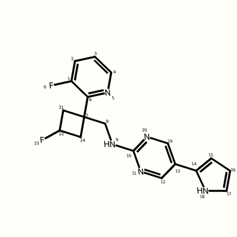 Fc1cccnc1C1(CNc2ncc(-c3ccc[nH]3)cn2)CC(F)C1